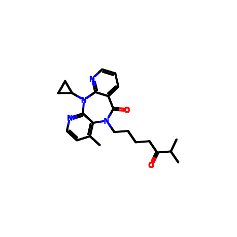 Cc1ccnc2c1N(CCCCC(=O)C(C)C)C(=O)c1cccnc1N2C1CC1